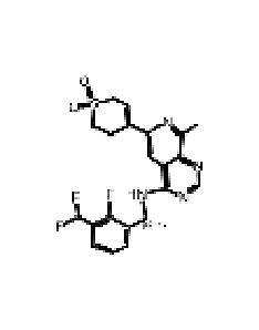 Cc1nc(C2=CCS(=O)(=O)CC2)cc2c(N[C@H](C)c3cccc(C(F)F)c3F)ncnc12